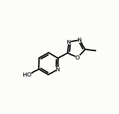 Cc1nnc(-c2ccc(O)cn2)o1